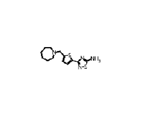 Nc1nc(-c2ccc(CN3CCCCCC3)s2)ns1